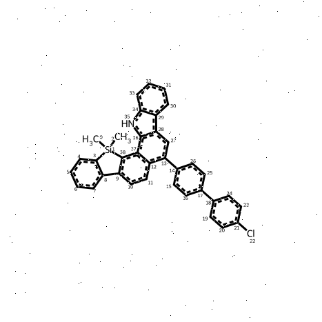 C[Si]1(C)c2ccccc2-c2ccc3c(-c4ccc(-c5ccc(Cl)cc5)cc4)cc4c5ccccc5[nH]c4c3c21